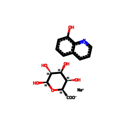 O=C([O-])[C@H]1O[C@@H](O)[C@H](O)[C@@H](O)[C@@H]1O.Oc1cccc2cccnc12.[Na+]